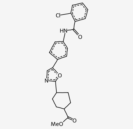 COC(=O)C1CCC(c2ncc(-c3ccc(NC(=O)c4ccccc4Cl)cc3)o2)CC1